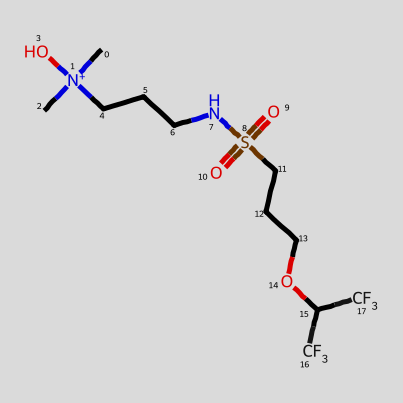 C[N+](C)(O)CCCNS(=O)(=O)CCCOC(C(F)(F)F)C(F)(F)F